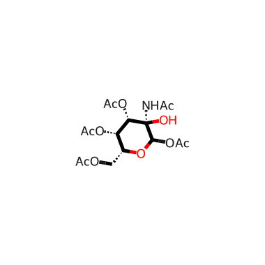 CC(=O)N[C@]1(O)C(OC(C)=O)O[C@H](COC(C)=O)[C@H](OC(C)=O)[C@@H]1OC(C)=O